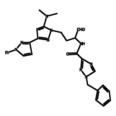 CCn1ccc(-c2cc(N(C)C)n(CCC(C=O)NC(=O)c3ncn(Cc4ccccc4)n3)n2)n1